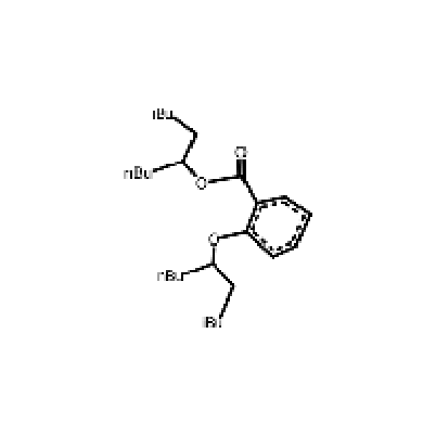 CCCCC(CC(C)CC)OC(=O)c1ccccc1OC(CCCC)CC(C)CC